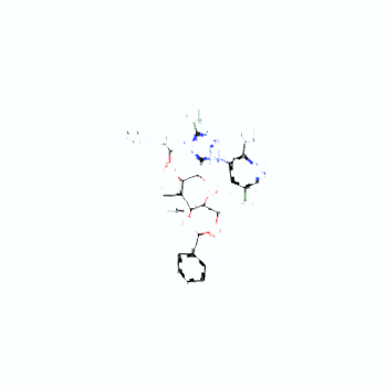 COCOC1C(C)[C@H]2OC(c3ccccc3)OCC2O[C@H]1c1nc(Cl)nn1-c1cc(Cl)cnc1C(F)(F)F